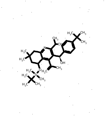 C=C(C)c1c2c(nc(C(C)C)c1[C@H](O)c1ccc(C(C)(C)C)cc1)CC(C)(C)CC2O[Si](C)(C)C(C)(C)C